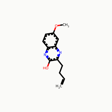 C=CCCc1nc2cc(OC)ccc2nc1O